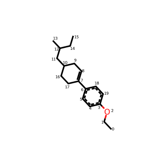 CCOc1ccc(C2=CCC(CC(C)CC)CC2)cc1